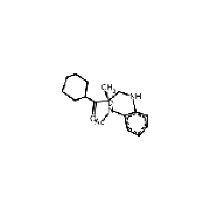 CC(=O)N1c2ccccc2NC[C@@]1(C)C(=O)C1CCCCC1